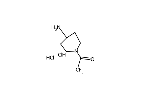 Cl.Cl.NC1CCN(C(=O)C(F)(F)F)CC1